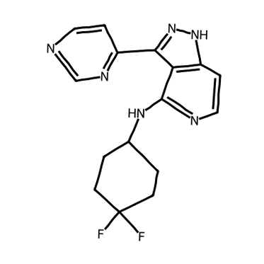 FC1(F)CCC(Nc2nccc3[nH]nc(-c4ccncn4)c23)CC1